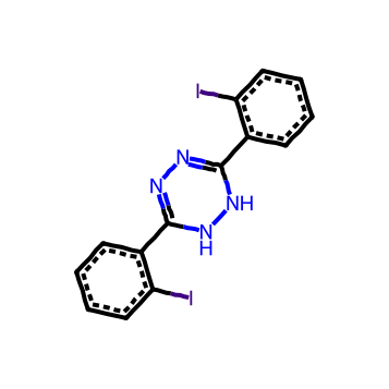 Ic1ccccc1C1=NN=C(c2ccccc2I)NN1